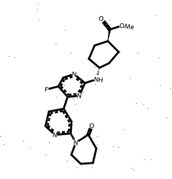 COC(=O)[C@H]1CC[C@H](Nc2ncc(F)c(-c3ccnc(N4CCCCC4=O)c3)n2)CC1